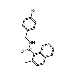 Cc1ccc2ccccc2c1[S+]([O-])NCc1ccc(Br)cc1